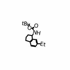 CCc1ccc2c(c1)C(NC(=O)OC(C)(C)C)CCC2